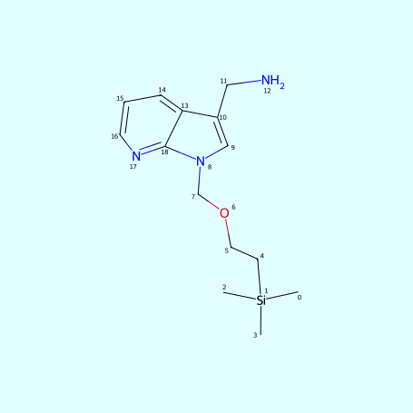 C[Si](C)(C)CCOCn1cc(CN)c2cccnc21